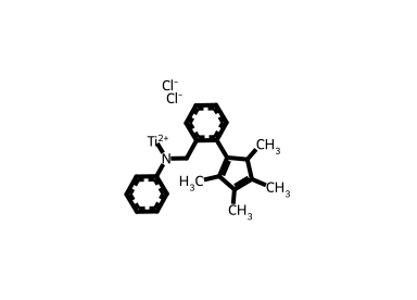 CC1=C(C)C(C)C(c2ccccc2C[N]([Ti+2])c2ccccc2)=C1C.[Cl-].[Cl-]